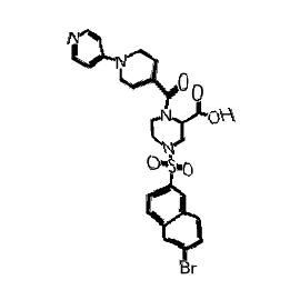 O=C(O)C1CN(S(=O)(=O)c2ccc3cc(Br)ccc3c2)CCN1C(=O)C1CCN(c2ccncc2)CC1